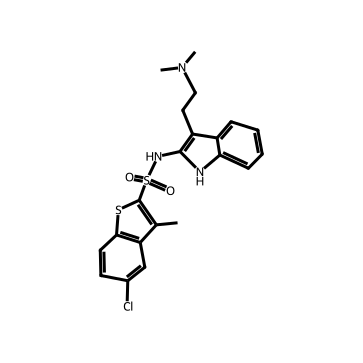 Cc1c(S(=O)(=O)Nc2[nH]c3ccccc3c2CCN(C)C)sc2ccc(Cl)cc12